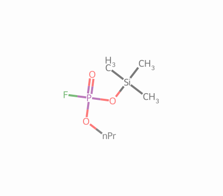 CCCOP(=O)(F)O[Si](C)(C)C